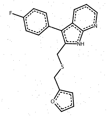 Fc1ccc(-c2c(CSCc3ccco3)[nH]c3ncccc23)cc1